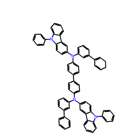 C1=CC(c2cccc(N(c3ccc(-c4ccc(N(c5cccc(-c6ccccc6)c5)c5ccc6c(c5)c5ccccc5n6-c5ccccc5)cc4)cc3)c3ccc4c(c3)c3ccccc3n4-c3ccccc3)c2)=CCC1